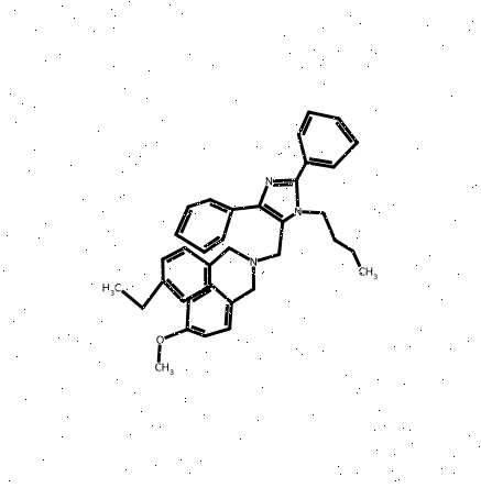 CCCCn1c(-c2ccccc2)nc(-c2ccccc2)c1CN(Cc1ccc(CC)cc1)Cc1ccc(OC)cc1